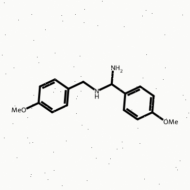 COc1ccc(CNC(N)c2ccc(OC)cc2)cc1